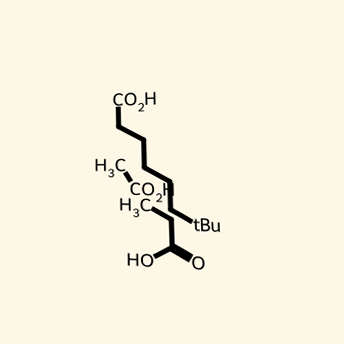 CC(=O)O.CC(C)(C)CCCCCC(=O)O.CCC(=O)O